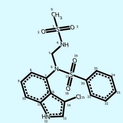 CS(=O)(=O)NCN(c1cccc2[nH]cc(Cl)c12)S(=O)(=O)c1ccccc1